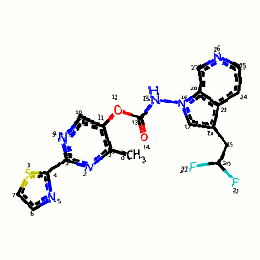 Cc1nc(-c2nccs2)ncc1OC(=O)Nn1cc(CC(F)F)c2ccncc21